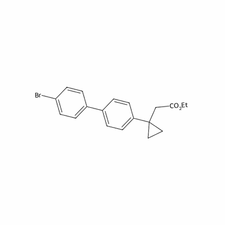 CCOC(=O)CC1(c2ccc(-c3ccc(Br)cc3)cc2)CC1